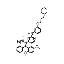 COc1ccc(OC)c(C(c2ccccc2SC)N(C(=O)O)c2ccnc(Nc3cccc(OCCCN4CCCCC4)c3)n2)c1